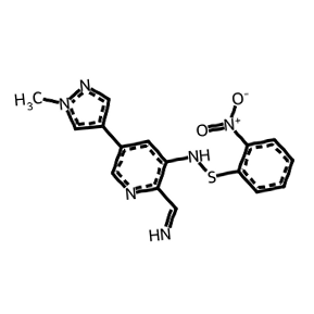 Cn1cc(-c2cnc(C=N)c(NSc3ccccc3[N+](=O)[O-])c2)cn1